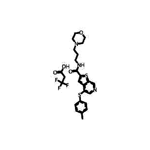 Cc1ccc(Sc2cncc3sc(C(=O)NCCCN4CCOCC4)cc23)cc1.O=C(O)CC(F)(F)F